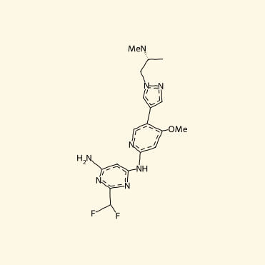 CN[C@H](C)Cn1cc(-c2cnc(Nc3cc(N)nc(C(F)F)n3)cc2OC)cn1